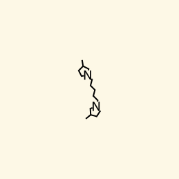 CC1CCN(CCCCCN2CCC(C)C2)C1